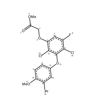 COC(=O)COc1nc(F)c(Cl)c(Oc2ccc(OC)c(C(C)C)c2)c1Cl